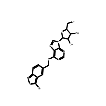 OCC1OC(n2cnc3c(SCc4ccc5nsc(Br)c5c4)ncnc32)C(O)C1O